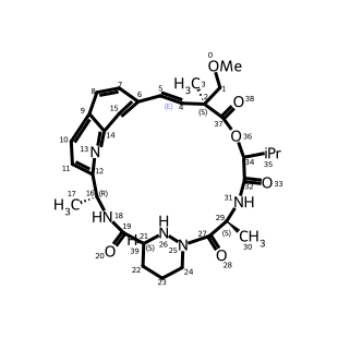 COC[C@]1(C)/C=C/c2ccc3ccc(nc3c2)[C@@H](C)NC(=O)[C@@H]2CCCN(N2)C(=O)[C@H](C)NC(=O)C(C(C)C)OC1=O